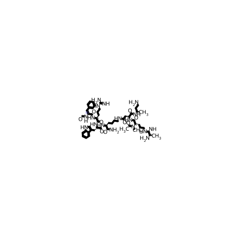 CC(=O)N(C)[C@@H](CCCNC(=N)[C@@H](C)N)C(=O)N[C@@H](CC(=O)NCCCC[C@H](NC(=O)[C@H](Cc1c[nH]c2ccccc12)NC(=O)[C@H](CCCNC(=N)N)NC(=O)/C(=C\c1ccccc1)NC=O)C(N)=O)C(=O)N[C@H](C)CCN